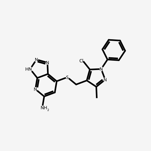 Cc1nn(-c2ccccc2)c(Cl)c1CSc1cc(N)nc2[nH]nnc12